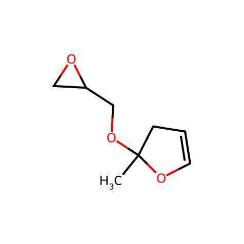 CC1(OCC2CO2)CC=CO1